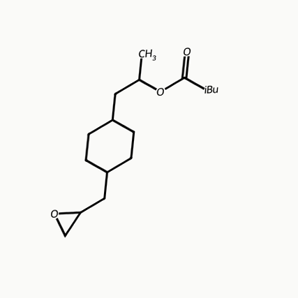 CCC(C)C(=O)OC(C)CC1CCC(CC2CO2)CC1